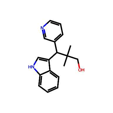 CC(C)(CO)C(c1cccnc1)c1c[nH]c2ccccc12